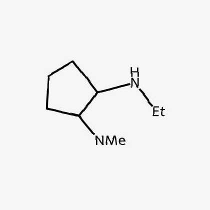 CCNC1CCCC1NC